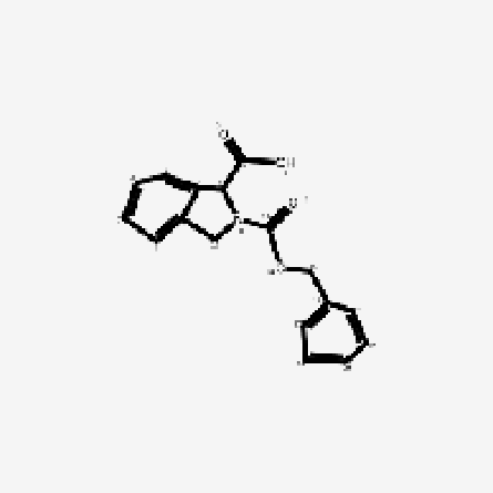 O=C(O)C1c2ccccc2CN1C(=O)OCc1ccccc1